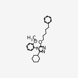 COc1ccccc1-n1c(OCCCCCc2ccccc2)nnc1C1CCCCC1